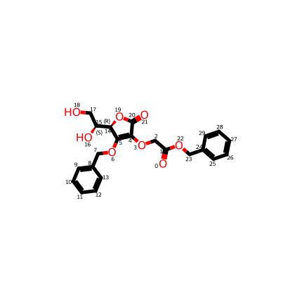 O=C(COC1=C(OCc2ccccc2)[C@@H]([C@@H](O)CO)OC1=O)OCc1ccccc1